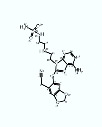 N#CCc1cc2c(cc1Sc1nc3c(N)ncnc3n1CCNCCNS(N)(=O)=O)OCO2